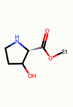 CCOC(=O)[C@H]1NCCC1O